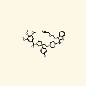 COc1cc(C(=O)N2CCC(CCN3CCC(Nc4nc5ccccc5n4CCOCC#N)CC3)(c3ccc(F)cc3)C2)cc(OC)c1OC